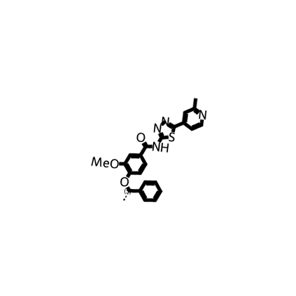 COc1cc(C(=O)Nc2nnc(-c3ccnc(C)c3)s2)ccc1O[C@@H](C)c1ccccc1